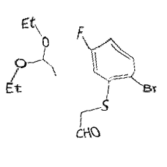 CCOC(C)OCC.O=CCSc1cc(F)ccc1Br